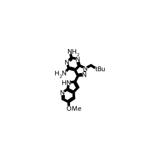 COc1cnc2[nH]c(-c3nn(CC(C)(C)C)c4nc(N)nc(N)c34)cc2c1